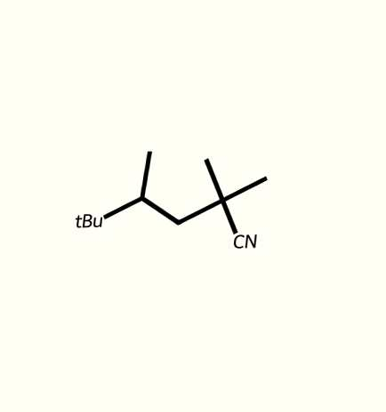 CC(CC(C)(C)C#N)C(C)(C)C